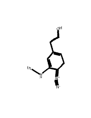 CCNC1=CC(CCO)=CCC1=[N+]=[N-]